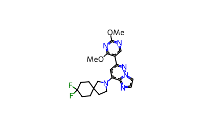 COc1ncc(-c2cc(N3CCC4(CCC(F)(F)CC4)C3)c3nccn3n2)c(OC)n1